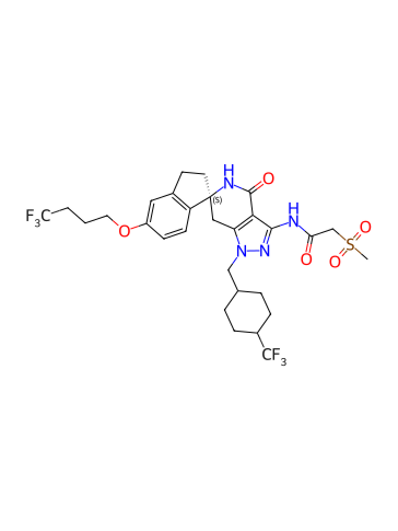 CS(=O)(=O)CC(=O)Nc1nn(CC2CCC(C(F)(F)F)CC2)c2c1C(=O)N[C@@]1(CCc3cc(OCCCC(F)(F)F)ccc31)C2